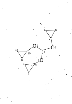 C1CC1OC(OC1CC1)OC1CC1